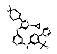 CC(C)(O)c1cc(Nc2cc(Oc3cn(C4CC4)nc3C3CCC(F)(F)CC3)ccn2)ccc1-n1cncn1